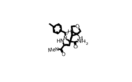 CNC(=O)C1=CC(C(N)=O)(C2[C@H]3COC[C@@H]23)N([C@@H](C)c2ccc(C)cc2)N1